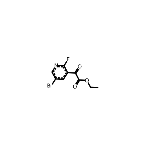 CCOC(=O)C(=O)c1cc(Br)cnc1F